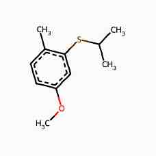 COc1ccc(C)c(SC(C)C)c1